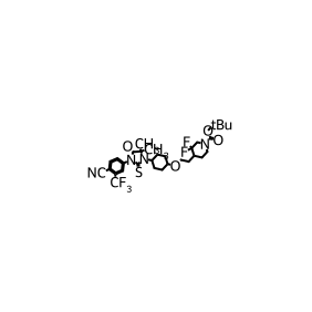 CC(C)(C)OC(=O)N1CCC(CCOC2CCC(N3C(=S)N(c4ccc(C#N)c(C(F)(F)F)c4)C(=O)C3(C)C)CC2)C(F)(F)C1